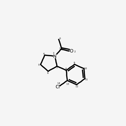 CC(=O)N1CCCC1c1ccccc1Cl